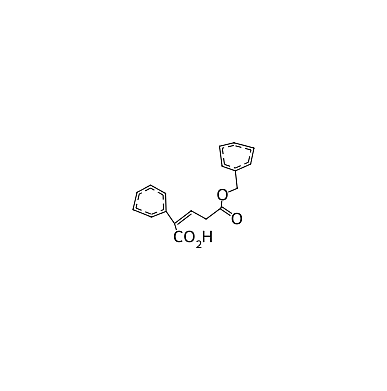 O=C(CC=C(C(=O)O)c1ccccc1)OCc1ccccc1